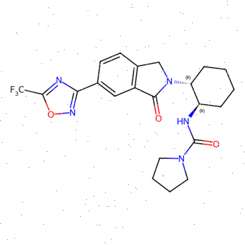 O=C(N[C@@H]1CCCC[C@H]1N1Cc2ccc(-c3noc(C(F)(F)F)n3)cc2C1=O)N1CCCC1